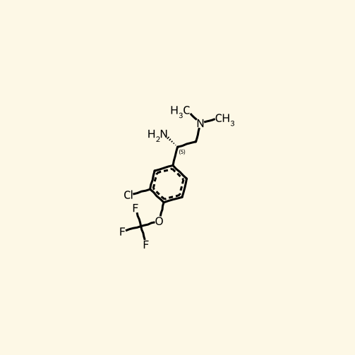 CN(C)C[C@@H](N)c1ccc(OC(F)(F)F)c(Cl)c1